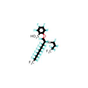 F[C]([Na])=C(F)C(F)(F)C(F)(F)F.O=S(=O)(O)c1c(F)c(F)c(F)c(F)c1OC(F)=C(F)C(F)(F)C(F)(F)C(F)(F)C(F)(F)C(F)(F)C(F)(F)C(F)(F)F